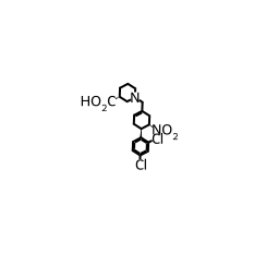 O=C(O)[C@@H]1CCCN(CC2=CC[C@H](c3ccc(Cl)cc3Cl)[C@@H]([N+](=O)[O-])C2)C1